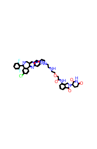 N/C=N/C=C1/CN=C(c2c(F)cccc2F)c2cc(Cl)ccc2/C1=N/c1ccc(/C=C\NCCNCCOCC(=O)Nc2cccc3c2CN(C2CCC(=O)NC2=O)C3=O)cc1